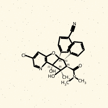 CN(C)C(=O)[C@@H]1[C@@H](c2ccccc2)[C@]2(c3ccc(C#N)cc3)Oc3cc(Cl)cnc3[C@]2(O)[C@]1(C)O